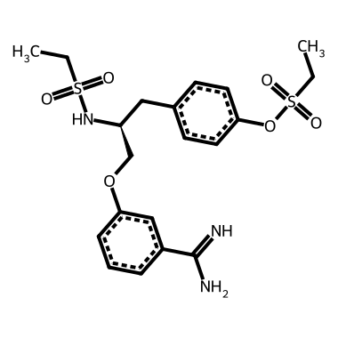 CCS(=O)(=O)N[C@H](COc1cccc(C(=N)N)c1)Cc1ccc(OS(=O)(=O)CC)cc1